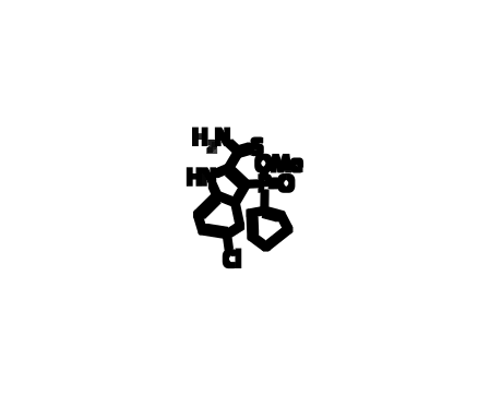 COP(=O)(C1=CCCC=C1)C1=C(C(N)=S)NC2=CC=C(Cl)CC21